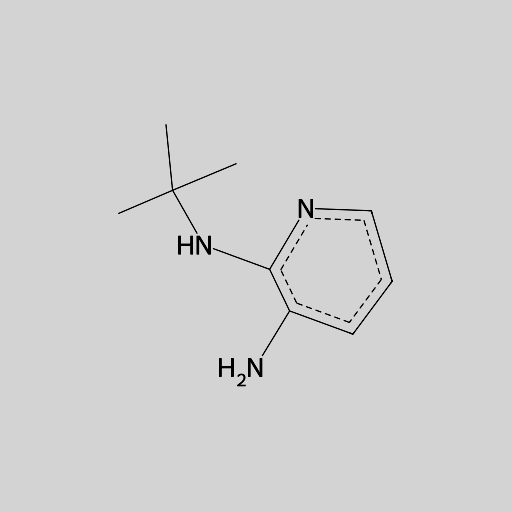 CC(C)(C)Nc1ncccc1N